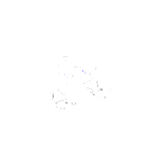 COc1ccc(CCN2CCCCC(CN3Cc4cc(OC)c(OC)cc4C3=O)C2)cc1OC.Cl